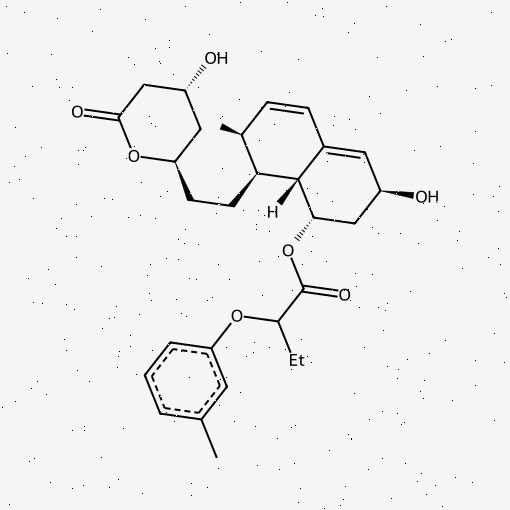 CCC(Oc1cccc(C)c1)C(=O)O[C@H]1C[C@H](O)C=C2C=C[C@H](C)[C@H](CC[C@@H]3C[C@@H](O)CC(=O)O3)[C@H]21